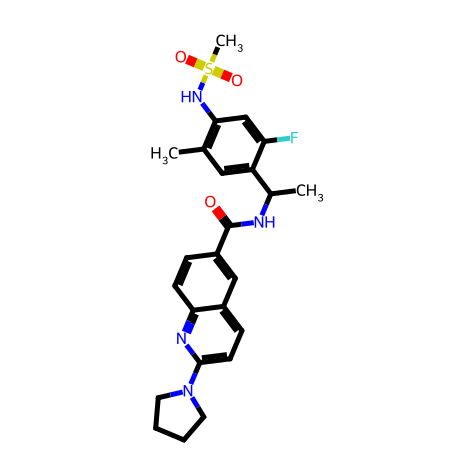 Cc1cc(C(C)NC(=O)c2ccc3nc(N4CCCC4)ccc3c2)c(F)cc1NS(C)(=O)=O